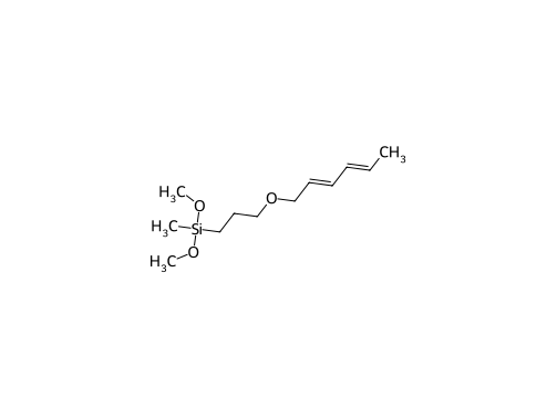 CC=CC=CCOCCC[Si](C)(OC)OC